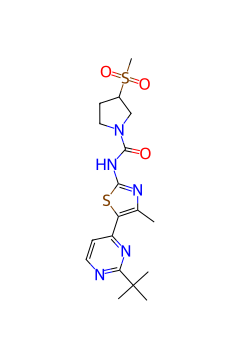 Cc1nc(NC(=O)N2CCC(S(C)(=O)=O)C2)sc1-c1ccnc(C(C)(C)C)n1